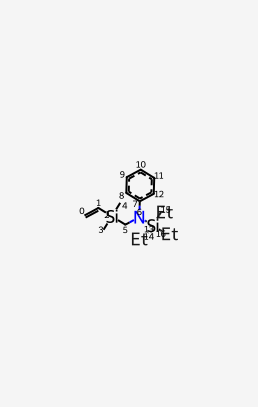 C=C[Si](C)(C)CN(c1ccccc1)[Si](CC)(CC)CC